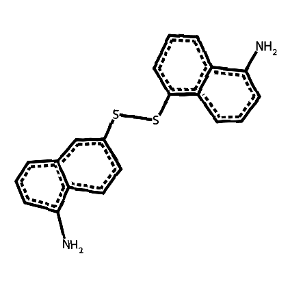 Nc1cccc2cc(SSc3cccc4c(N)cccc34)ccc12